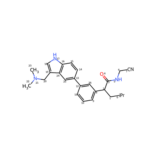 CC(C)CC(C(=O)NCC#N)c1cccc(-c2ccc3[nH]cc(CN(C)C)c3c2)c1